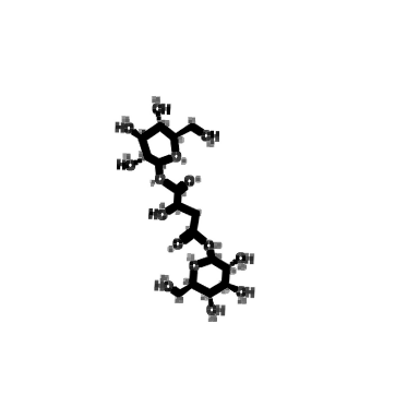 O=C(CC(O)C(=O)OC1O[C@H](CO)[C@@H](O)[C@H](O)[C@H]1O)OC1O[C@H](CO)[C@@H](O)[C@H](O)[C@H]1O